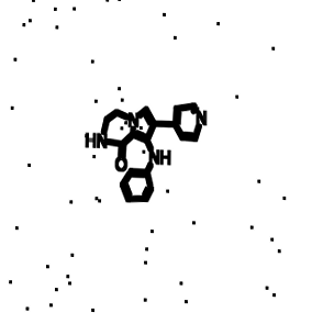 O=C1NCCn2cc(-c3ccncc3)c(Nc3ccccc3)c21